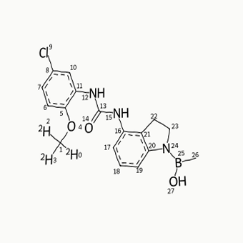 [2H]C([2H])([2H])Oc1ccc(Cl)cc1NC(=O)Nc1cccc2c1CCN2B(C)O